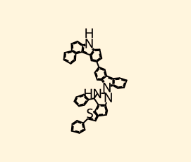 c1ccc(-c2cc3ccc4c(c3s2)C(c2ccccc2)NC(n2c3ccccc3c3cc(-c5ccc6[nH]c7ccc8ccccc8c7c6c5)ccc32)=N4)cc1